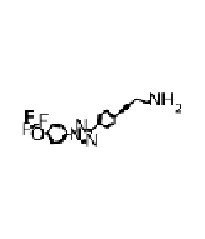 NCCC#Cc1ccc(-c2ncn(-c3ccc(OC(F)(F)F)cc3)n2)cc1